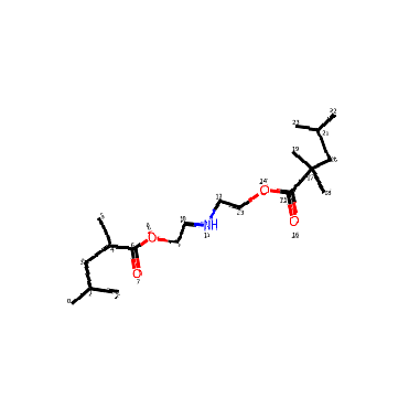 CC(C)CC(C)C(=O)OCCNCCOC(=O)C(C)(C)CC(C)C